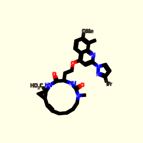 COc1ccc2c(OCCC3NC(=O)N(C)CCCC/C=C\C4CC4(C(=O)O)NC3=O)cc(-n3ccc(C(C)C)n3)nc2c1C